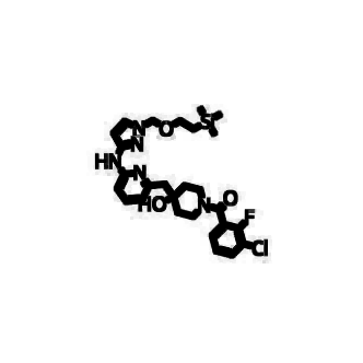 C[Si](C)(C)CCOCn1ccc(Nc2cccc(CC3(O)CCN(C(=O)c4cccc(Cl)c4F)CC3)n2)n1